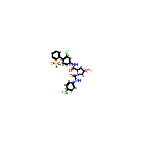 CS(=O)(=O)c1ccccc1-c1ccc(NC(=O)C2CC(O)CN2C(=O)Nc2ccc(Cl)cc2)cc1Cl